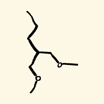 CCC[C](COC)COC